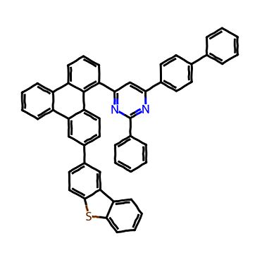 c1ccc(-c2ccc(-c3cc(-c4cccc5c6ccccc6c6cc(-c7ccc8sc9ccccc9c8c7)ccc6c45)nc(-c4ccccc4)n3)cc2)cc1